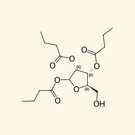 CCCC(=O)OC1O[C@H](CO)[C@@H](OC(=O)CCC)[C@H]1OC(=O)CCC